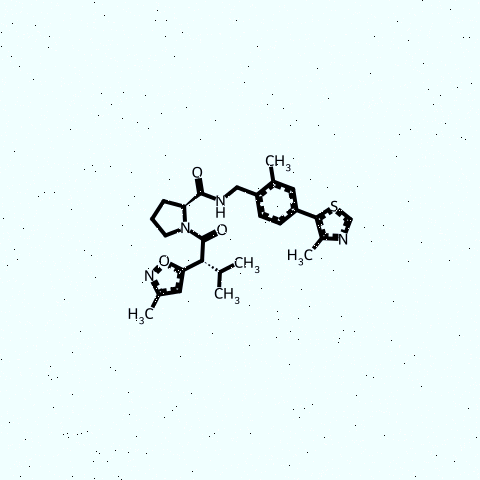 Cc1cc([C@H](C(=O)N2CCC[C@H]2C(=O)NCc2ccc(-c3scnc3C)cc2C)C(C)C)on1